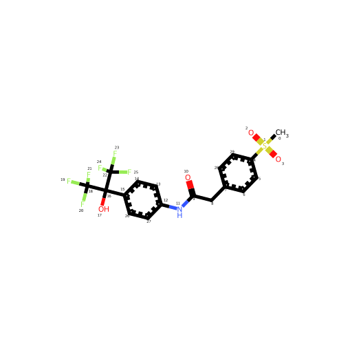 CS(=O)(=O)c1ccc(CC(=O)Nc2ccc(C(O)(C(F)(F)F)C(F)(F)F)cc2)cc1